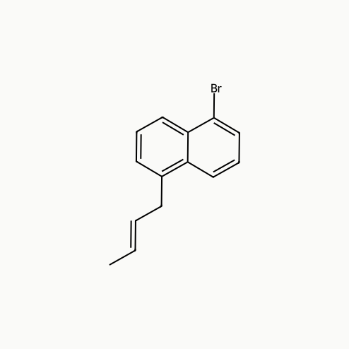 CC=CCc1cccc2c(Br)cccc12